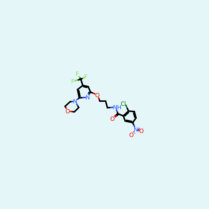 O=C(NCCCOc1cc(C(F)(F)F)cc(N2CCOCC2)n1)c1cc([N+](=O)[O-])ccc1Cl